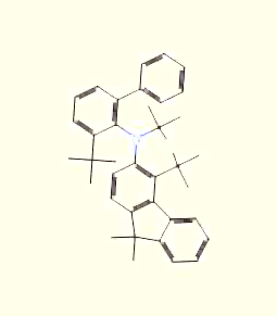 CC(C)(C)c1cccc(-c2ccccc2)c1N(c1ccc2c(c1C(C)(C)C)-c1ccccc1C2(C)C)C(C)(C)C